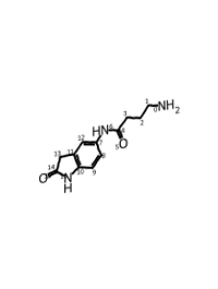 NCCCC(=O)Nc1ccc2c(c1)CC(=O)N2